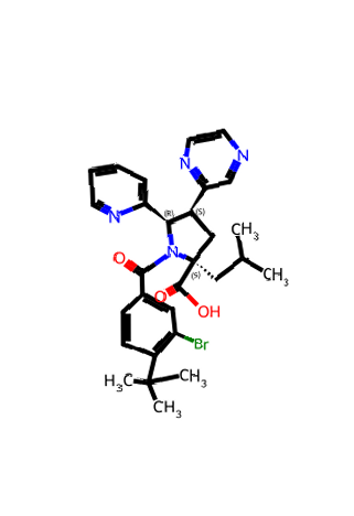 CC(C)C[C@@]1(C(=O)O)C[C@H](c2cnccn2)[C@H](c2ccccn2)N1C(=O)c1ccc(C(C)(C)C)c(Br)c1